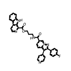 O=C(NCCCOC(=O)c1nccc2c1[nH]c1ccccc12)c1ccc2c(-c3ccncc3)c(-c3ccc(F)cc3)nn2c1